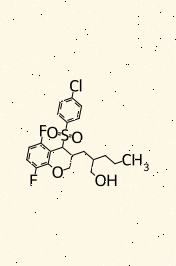 CCCC(CO)CC1COc2c(F)ccc(F)c2C1S(=O)(=O)c1ccc(Cl)cc1